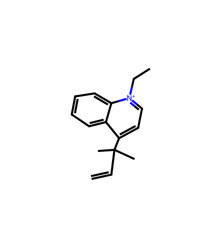 C=CC(C)(C)c1cc[n+](CC)c2ccccc12